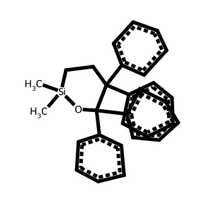 C[Si]1(C)CCC(c2ccccc2)(c2ccccc2)C(c2ccccc2)(c2ccccc2)O1